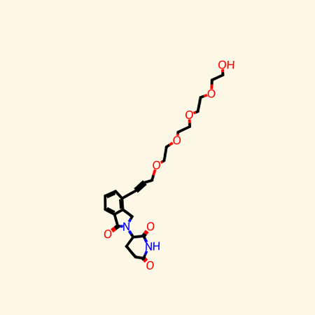 O=C1CCC(N2Cc3c(C#CCOCCOCCOCCOCCO)cccc3C2=O)C(=O)N1